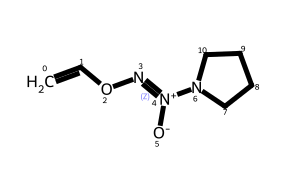 C=CO/N=[N+](\[O-])N1CCCC1